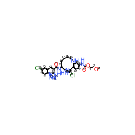 COCCOC(=O)Nc1ccc2c(c1)NCCCCCC(NC(=O)C=Cc1cc(Cl)ccc1-n1cnnn1)c1nc-2c(Cl)[nH]1